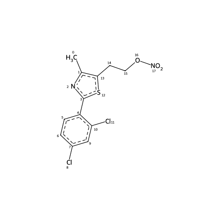 Cc1nc(-c2ccc(Cl)cc2Cl)sc1CCO[N+](=O)[O-]